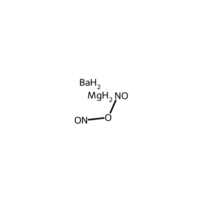 O=NON=O.[BaH2].[MgH2]